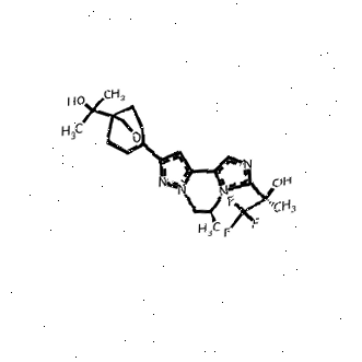 C[C@H]1Cn2nc(C34CCC(C(C)(C)O)(CC3)CO4)cc2-c2cnc([C@@](C)(O)C(F)(F)F)n21